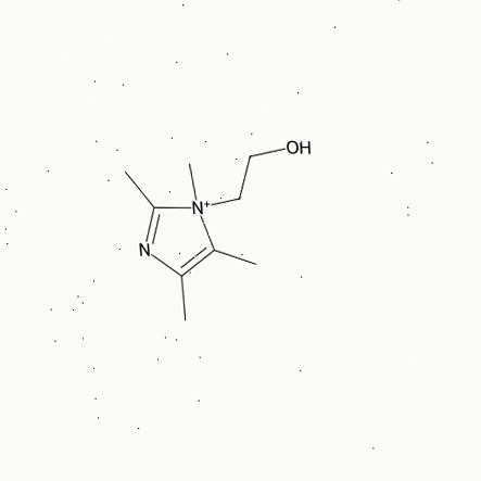 CC1=NC(C)=C(C)[N+]1(C)CCO